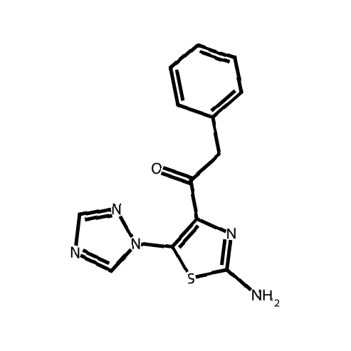 Nc1nc(C(=O)Cc2ccccc2)c(-n2cncn2)s1